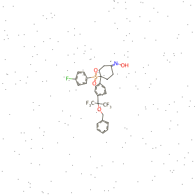 O=S(=O)(c1ccc(F)cc1)C1(c2ccc(C(OCc3ccccc3)(C(F)(F)F)C(F)(F)F)cc2)CCC(=NO)CC1